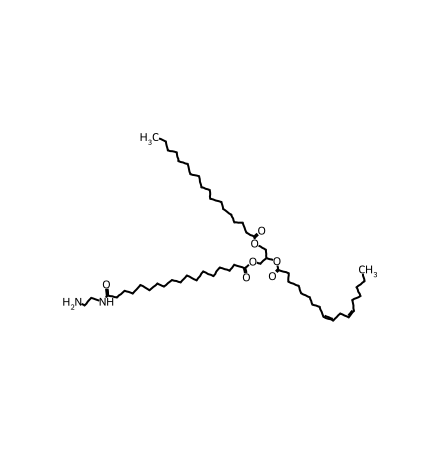 CCCCC/C=C\C/C=C\CCCCCCCC(=O)OC(COC(=O)CCCCCCCCCCCCCCCCC)COC(=O)CCCCCCCCCCCCCCCCC(=O)NCCN